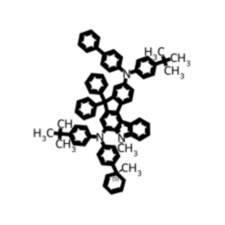 Cn1c2ccccc2c2c3c(cc(N(c4ccc(C(C)(C)C)cc4)c4ccc([C@]5(C)C=CC=CC5)cc4)c21)C(c1ccccc1)(c1ccccc1)c1cc(N(c2ccc(-c4ccccc4)cc2)c2ccc(C(C)(C)C)cc2)ccc1-3